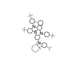 Cc1cc2c3c(c1)N(c1ccc(C(C)(C)C)cc1-c1ccccc1)c1cc(C(C)(C)C)ccc1B3c1ccc(N3c4ccc(C(C)C)cc4C4(C)CCCCCCC34C)cc1N2c1ccc(C(C)(C)C)cc1